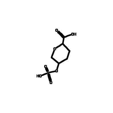 O=C(O)C1CCC(OS(=O)(=O)O)CO1